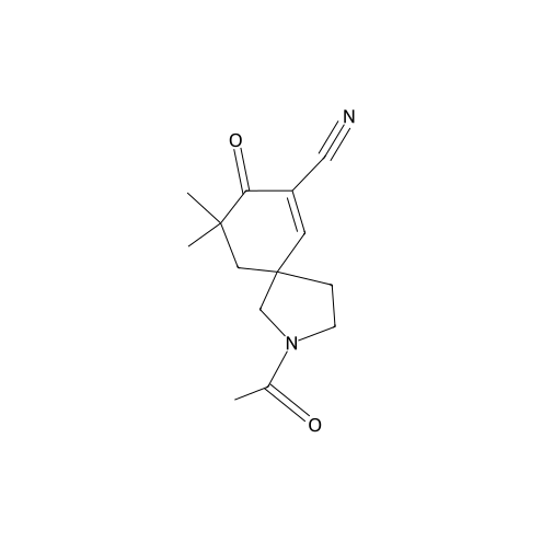 CC(=O)N1CCC2(C=C(C#N)C(=O)C(C)(C)C2)C1